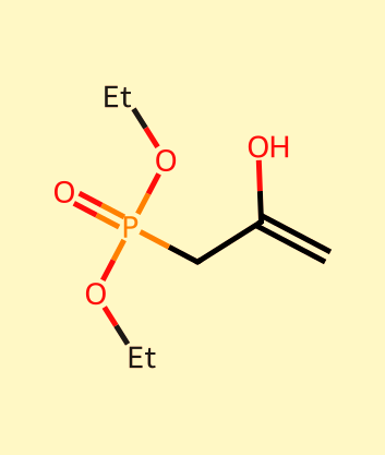 C=C(O)CP(=O)(OCC)OCC